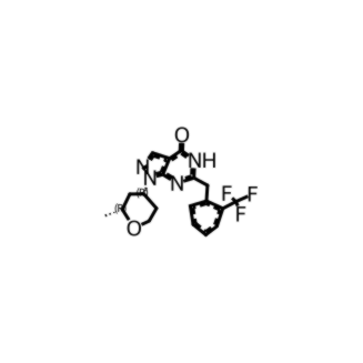 C[C@@H]1C[C@H](n2ncc3c(=O)[nH]c(Cc4ccccc4C(F)(F)F)nc32)CCO1